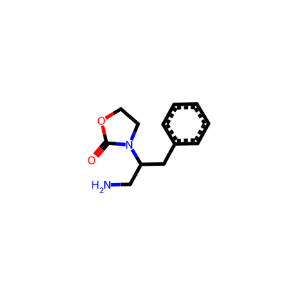 NCC(Cc1ccccc1)N1CCOC1=O